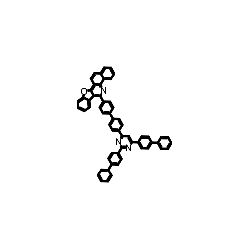 c1ccc(-c2ccc(-c3cc(-c4ccc(-c5ccc(-c6nc7c8ccccc8ccc7c7oc8ccccc8c67)cc5)cc4)nc(-c4ccc(-c5ccccc5)cc4)n3)cc2)cc1